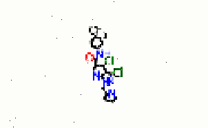 O=C(Nc1ccc(C(F)(F)F)cc1)c1cnc2c(c(Cl)nn2Cc2ccccn2)c1Cl